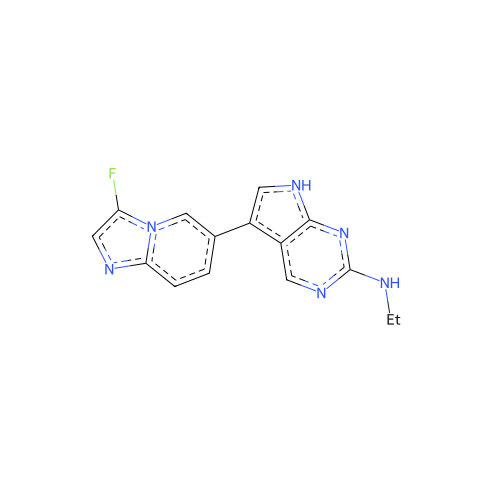 CCNc1ncc2c(-c3ccc4ncc(F)n4c3)c[nH]c2n1